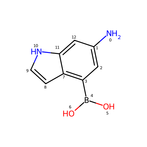 Nc1cc(B(O)O)c2cc[nH]c2c1